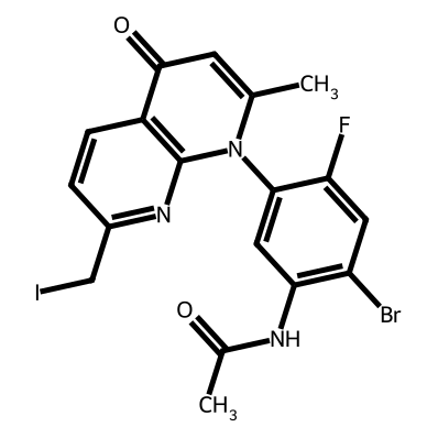 CC(=O)Nc1cc(-n2c(C)cc(=O)c3ccc(CI)nc32)c(F)cc1Br